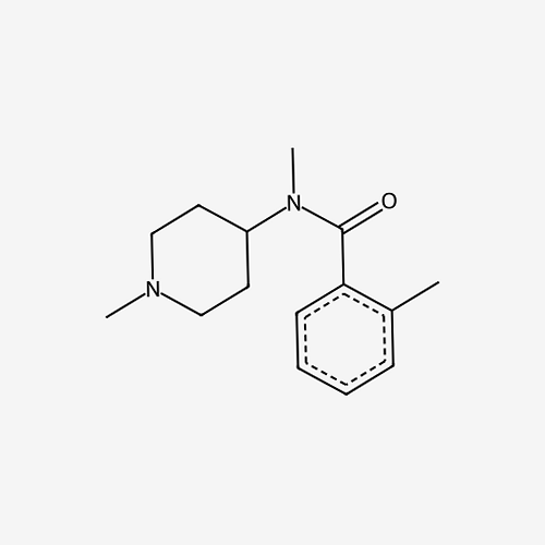 Cc1ccccc1C(=O)N(C)C1CCN(C)CC1